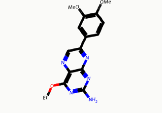 CCOc1nc(N)nc2nc(-c3ccc(OC)c(OC)c3)cnc12